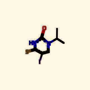 CC(C)n1cc(I)c(=S)[nH]c1=O